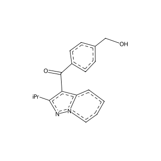 CC(C)c1nn2ccccc2c1C(=O)c1ccc(CO)cc1